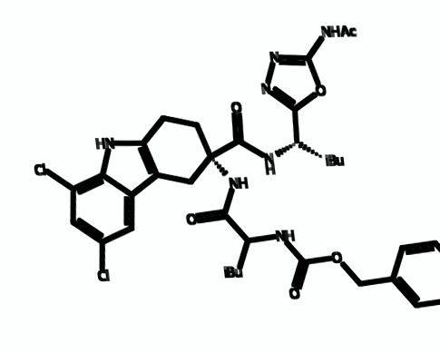 CCC(C)C(NC(=O)OCc1ccccc1)C(=O)N[C@@]1(C(=O)N[C@H](c2nnc(NC(C)=O)o2)[C@@H](C)CC)CCc2[nH]c3c(Cl)cc(Cl)cc3c2C1